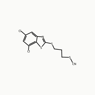 N#CSCCCSc1nc2cc(Cl)cc(Cl)c2s1